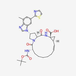 Cc1cc(-c2nccs2)cc2c1ncn2[C@@H]1C[C@H]2C(=O)N[C@]3(C(=O)O)C[C@H]3/C=C\CCCCC[C@H](NC(=O)OC(C)(C)C)C(=O)N2C1